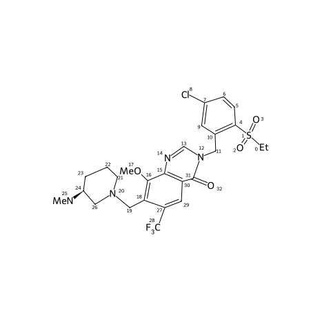 CCS(=O)(=O)c1ccc(Cl)cc1Cn1cnc2c(OC)c(CN3CCC[C@H](NC)C3)c(C(F)(F)F)cc2c1=O